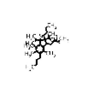 CCCCc1c(C)c2c(c(C)c1P)[C]([SnH3])(C(C)C)C(CCCC)(C(C)C)C2CCCC